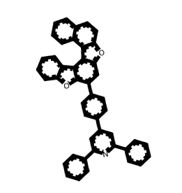 c1ccc(-c2cc(-c3ccc(-c4cc5oc6ccc7ccccc7c6c5c5c4oc4ccccc45)cc3)cc(-c3ccccc3)n2)cc1